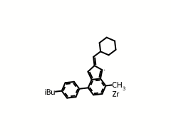 CCC(C)c1ccc(-c2ccc(C)c3c2=CC(=CC2CCCCC2)[C]=3)cc1.[Zr]